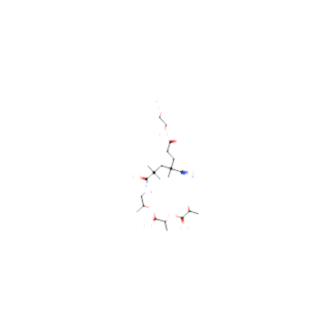 COCCOC(=O)CCC(C)(C#N)CC(C)(C)C(=O)NCC(C)OC(=O)C(C)OC(=O)C(C)O